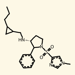 CCCC1CC1CN[C@@H]1CCN(S(=O)(=O)c2cn(C)cn2)C1c1ccccc1